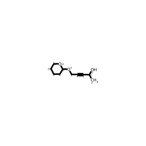 CC(O)C#CCOC1CCCCO1